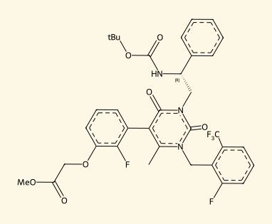 COC(=O)COc1cccc(-c2c(C)n(Cc3c(F)cccc3C(F)(F)F)c(=O)n(C[C@H](NC(=O)OC(C)(C)C)c3ccccc3)c2=O)c1F